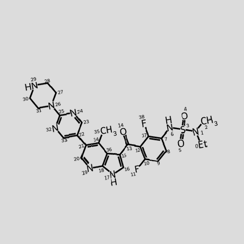 CCN(C)S(=O)(=O)Nc1ccc(F)c(C(=O)c2c[nH]c3ncc(-c4cnc(N5CCNCC5)nc4)c(C)c23)c1F